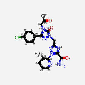 NC(=O)c1nc(Cn2nc(-c3ccc(Cl)cc3)n(CC(=O)C(F)(F)F)c2=O)nn1-c1ncccc1C(F)(F)F